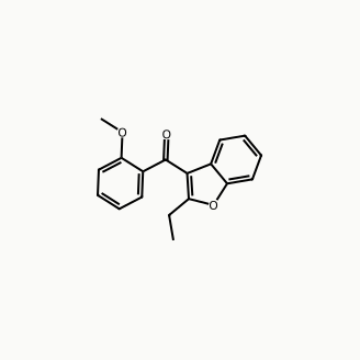 CCc1oc2ccccc2c1C(=O)c1ccccc1OC